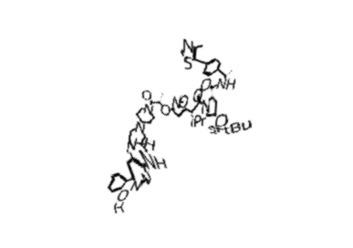 Cc1ncsc1-c1ccc([C@H](C)NC(=O)[C@@H]2C[C@@H](O[Si](C)(C)C(C)(C)C)CN2C(=O)[C@@H](c2cc(O[C@@H](C)C(=O)N3CCC(N4CCN5c6cc(-c7ccccc7O)nnc6NC[C@H]5C4)CC3)no2)C(C)C)cc1